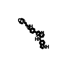 c1cc(Nc2ccc3[nH]ccc3c2)c2sc(-c3ccc(CNCCN4CCOCC4)cc3)cc2n1